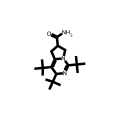 CC(C)(C)C1=NC(C(C)(C)C)C(C(C)(C)C)=C2CC(C(N)=O)CN12